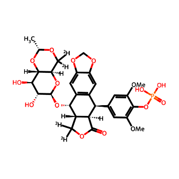 [2H]C1([2H])OC(=O)[C@@H]2[C@H](c3cc(OC)c(OP(=O)(O)O)c(OC)c3)c3cc4c(cc3[C@@H](O[C@@H]3O[C@H]5[C@@H](O[C@H](C)OC5([2H])[2H])[C@H](O)[C@H]3O)[C@H]21)OCO4